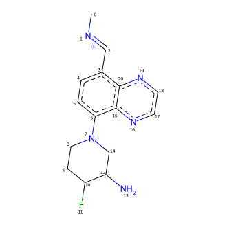 C/N=C/c1ccc(N2CCC(F)C(N)C2)c2nccnc12